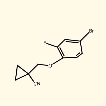 N#CC1(COc2ccc(Br)cc2F)CC1